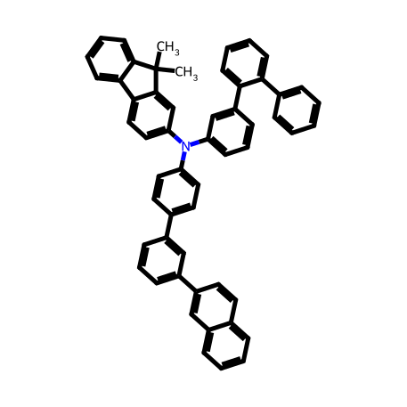 CC1(C)c2ccccc2-c2ccc(N(c3ccc(-c4cccc(-c5ccc6ccccc6c5)c4)cc3)c3cccc(-c4ccccc4-c4ccccc4)c3)cc21